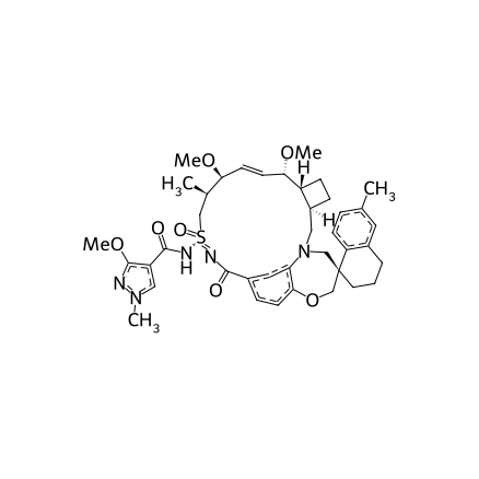 COc1nn(C)cc1C(=O)N[S@@]1(=O)=NC(=O)c2ccc3c(c2)N(C[C@@H]2CC[C@H]2[C@@H](OC)/C=C/[C@H](OC)[C@H](C)C1)C[C@@]1(CCCc2cc(C)ccc21)CO3